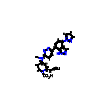 CN(c1ccc(-c2ccc(-n3cccn3)c3cn[nH]c23)nn1)[C@H]1CCN(C(=O)O)[C@@H](CC(C)(C)C)C1